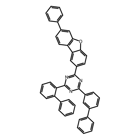 c1ccc(-c2cccc(-c3nc(-c4ccc5oc6cc(-c7ccccc7)ccc6c5c4)nc(-c4ccccc4-c4ccccc4)n3)c2)cc1